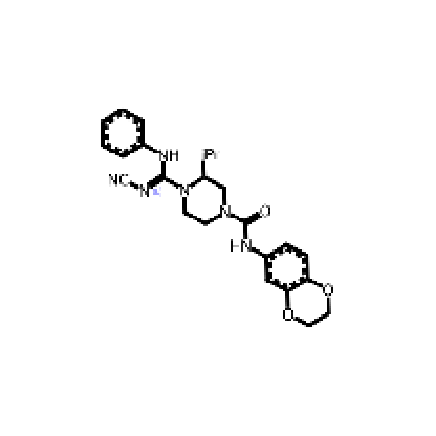 CC(C)C1CN(C(=O)Nc2ccc3c(c2)OCCO3)CCN1/C(=N/C#N)Nc1ccccc1